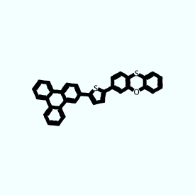 c1ccc2c(c1)Oc1cc(-c3ccc(-c4ccc5c6ccccc6c6ccccc6c5c4)s3)ccc1S2